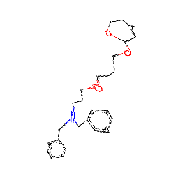 c1ccc(CN(CCCOCCCOC2CCCCO2)Cc2ccccc2)cc1